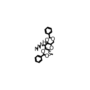 CS[C@@H]1OC2COC(c3ccccc3)O[C@@H]2C(N=[N+]=[N-])[C@H]1OC(=O)c1ccccc1